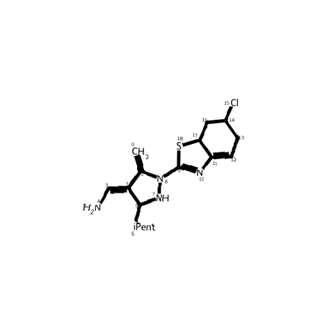 C=C1/C(=C/N)C(C(C)CCC)NN1C1=NC2=CCC(Cl)CC2S1